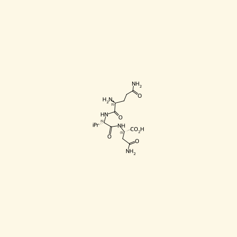 CC(C)[C@H](NC(=O)[C@@H](N)CCC(N)=O)C(=O)N[C@@H](CC(N)=O)C(=O)O